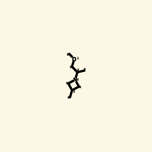 COCC(C)N1CC(C)C1